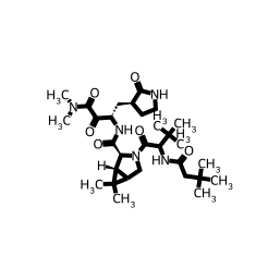 CN(C)C(=O)C(=O)[C@H](C[C@@H]1CCNC1=O)NC(=O)[C@@H]1[C@@H]2C(CN1C(=O)C(NC(=O)CC(C)(C)C)C(C)(C)C)C2(C)C